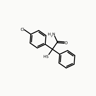 NC(=O)C(S)(c1ccccc1)c1ccc(Cl)cc1